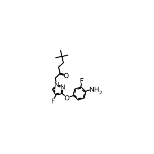 CC(C)(C)CCC(=O)Cn1cc(F)c(Oc2ccc(N)c(F)c2)n1